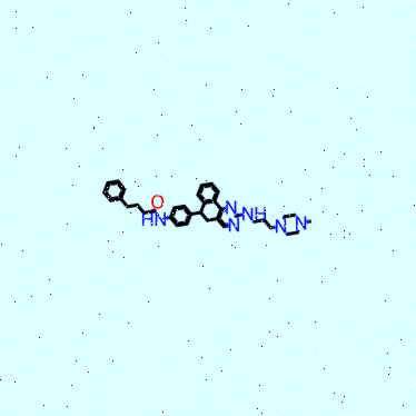 CN1CCN(CCCNc2ncc3c(n2)-c2ccccc2C(c2ccc(NC(=O)CCCc4ccccc4)cc2)C3)CC1